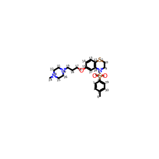 Cc1ccc(S(=O)(=O)N2CCSc3ccc(OCCCN4CCN(C)CC4)cc32)cc1